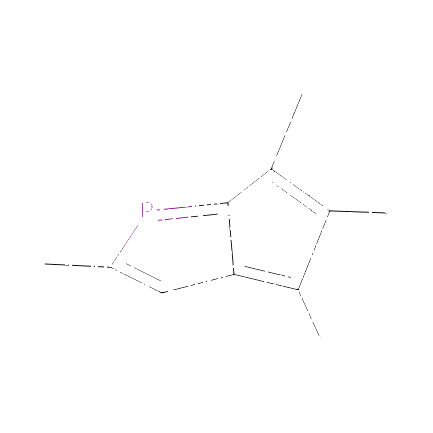 CC1=[C]C2=C(C)C(C)=C(C)C2=P1